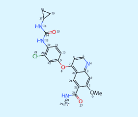 COc1cc2nccc(Oc3ccc(NC(=O)NC4CC4)c(Cl)c3)c2cc1C(=O)NC(C)C